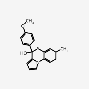 COc1ccc(C2(O)SC3=CC(C)CC=C3n3cccc32)cc1